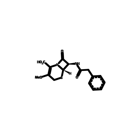 COC1=C(C(=O)O)N2C(=O)[C@@H](NC(=O)Cc3ccccc3)[C@H]2SC1